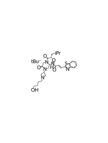 CC(C)C[C@H]1ON(C(=O)/C=C/c2nc3ccccc3s2)[C@H]2CN(C3CN(CCCCO)C3)C(=O)[C@H](CC(C)(C)C)N2C1=O